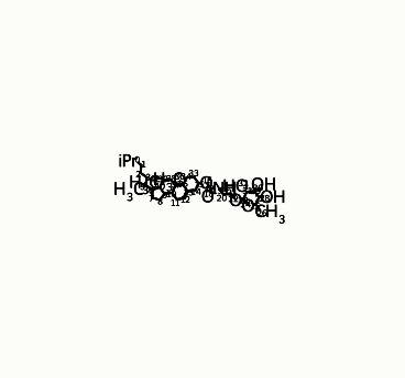 CC(C)CCCC(C)C1CCC2C3CC=C4CC(OC(=O)NCCOC5OC(C)[C@@H](O)C(O)[C@H]5O)CC[C@]4(C)C3CC[C@]12C